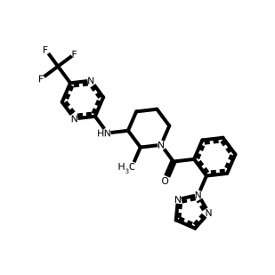 CC1C(Nc2cnc(C(F)(F)F)cn2)CCCN1C(=O)c1ccccc1-n1nccn1